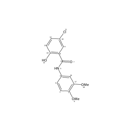 COc1ccc(NC(=O)c2cc(Cl)ccc2O)cc1OC